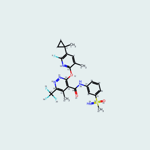 Cc1cc(C2(C)CC2)c(F)nc1Oc1nnc(C(F)(F)F)c(C)c1C(=O)Nc1cccc(S(C)(=N)=O)c1